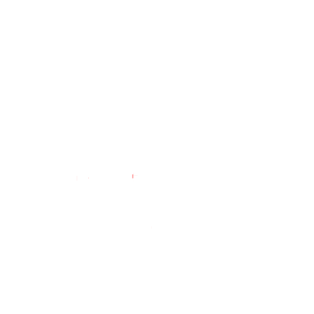 Oc1cc2ccccc2c(Oc2c(O)c(O)cc3ccccc23)c1O